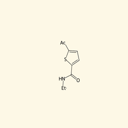 C[CH]NC(=O)c1ccc(C(C)=O)s1